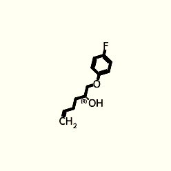 C=CCC[C@@H](O)COc1ccc(F)cc1